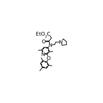 CCOC(=O)CC(=O)N(CCN1CCCC1)c1cc(C)nc(Oc2c(C)cc(C)cc2C)c1C